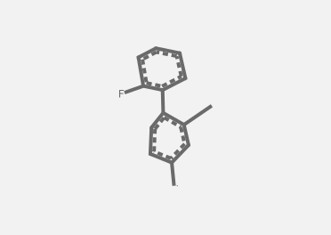 [CH2]c1ccc(-c2ccccc2F)c(C)c1